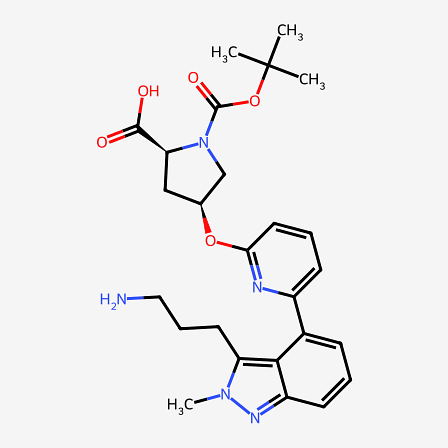 Cn1nc2cccc(-c3cccc(O[C@H]4C[C@@H](C(=O)O)N(C(=O)OC(C)(C)C)C4)n3)c2c1CCCN